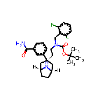 CC(C)(C)OC(=O)N(CC[C@]1(c2cccc(C(N)=O)c2)C[C@H]2CC[C@@H](C1)N2)Cc1c(F)cccc1F